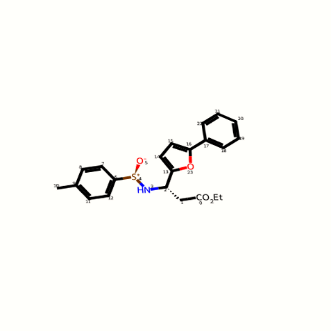 CCOC(=O)C[C@H](N[S@+]([O-])c1ccc(C)cc1)c1ccc(-c2ccccc2)o1